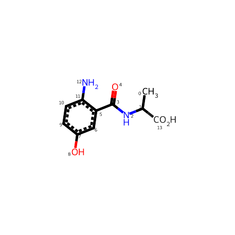 CC(NC(=O)c1cc(O)ccc1N)C(=O)O